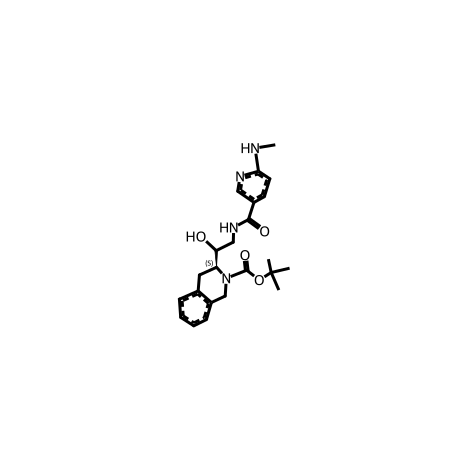 CNc1ccc(C(=O)NCC(O)[C@@H]2Cc3ccccc3CN2C(=O)OC(C)(C)C)cn1